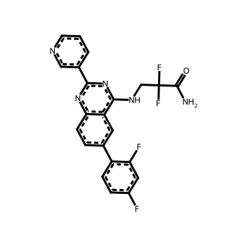 NC(=O)C(F)(F)CNc1nc(-c2cccnc2)nc2ccc(-c3ccc(F)cc3F)cc12